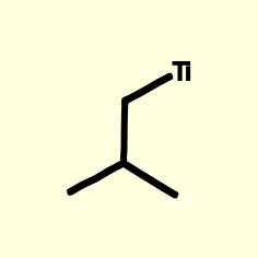 CC(C)[CH2][Ti]